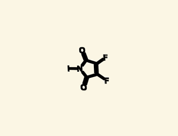 O=C1C(F)=C(F)C(=O)N1I